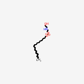 CCCCCCCC/C=C\CCCCCCCCOS(=O)(=O)OCCNCCO